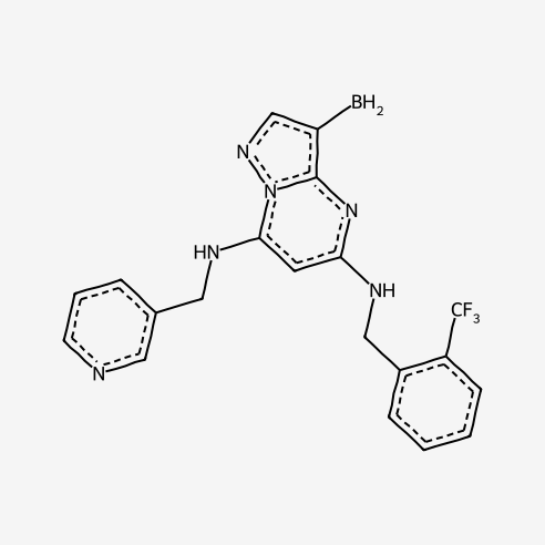 Bc1cnn2c(NCc3cccnc3)cc(NCc3ccccc3C(F)(F)F)nc12